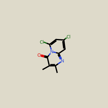 Cc1nc2cc(Cl)cc(Cl)n2c(=O)c1C